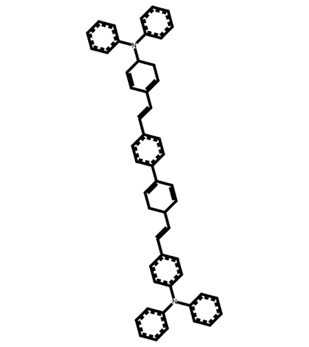 C1=CC(N(c2ccccc2)c2ccccc2)CC=C1/C=C/c1ccc(C2=CCC(/C=C/c3ccc(N(c4ccccc4)c4ccccc4)cc3)C=C2)cc1